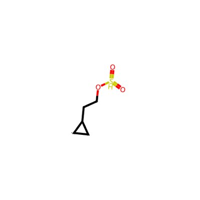 O=[SH](=O)OCCC1[CH]C1